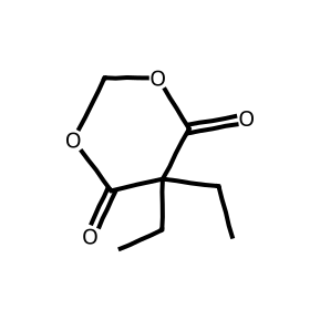 CCC1(CC)C(=O)OCOC1=O